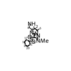 CNc1nn2c(C)cc(CN)nc2c1S(=O)(=O)c1ccccc1